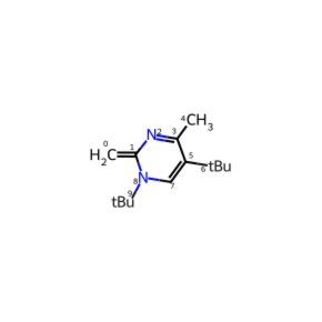 C=C1N=C(C)C(C(C)(C)C)=CN1C(C)(C)C